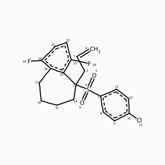 C=CCC1(S(=O)(=O)c2ccc(Cl)cc2)CCCCc2c(F)ccc(F)c21